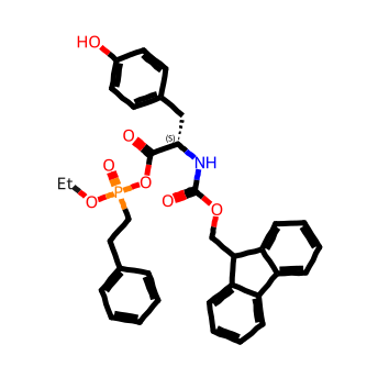 CCOP(=O)(CCc1ccccc1)OC(=O)[C@H](Cc1ccc(O)cc1)NC(=O)OCC1c2ccccc2-c2ccccc21